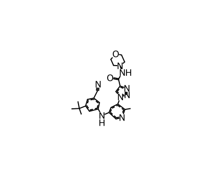 Cc1ncc(Nc2cc(C#N)cc(C(C)(C)C)c2)cc1-n1cc(C(=O)NN2CCOCC2)nn1